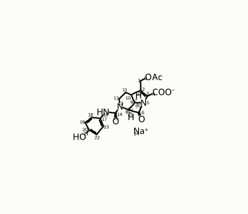 CC(=O)OCC1=C(C(=O)[O-])N2C(=O)[C@@H]3[C@H]2C1CCN3C(=O)Nc1ccc(O)cc1.[Na+]